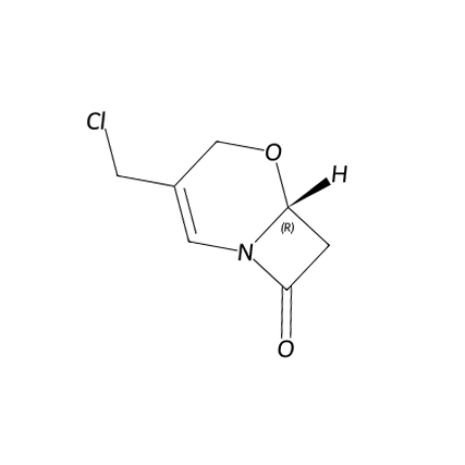 O=C1C[C@H]2OCC(CCl)=CN12